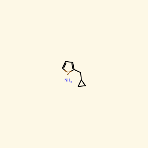 N.c1csc(CC2CC2)c1